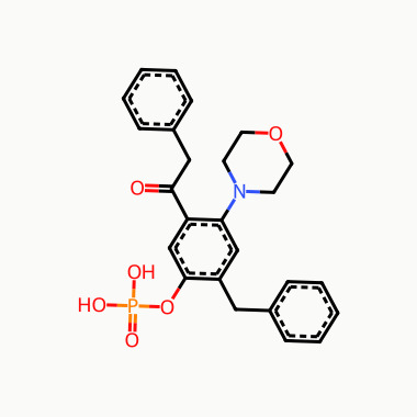 O=C(Cc1ccccc1)c1cc(OP(=O)(O)O)c(Cc2ccccc2)cc1N1CCOCC1